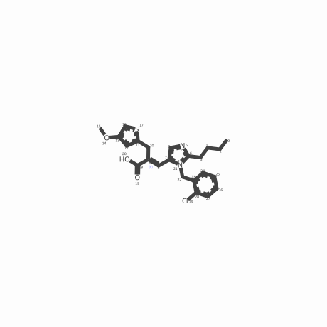 CCCCc1ncc(/C=C(\Cc2cc(OC)cs2)C(=O)O)n1Cc1ccccc1Cl